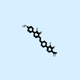 CCCC1=CCC(C2CC=C(CCC3CCC(C4=CCC(C5CO5)C(F)=C4F)CC3)C(F)=C2F)C=C1